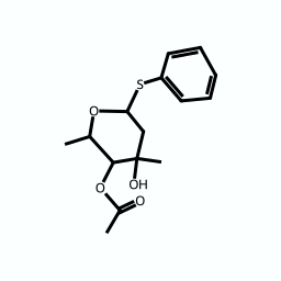 CC(=O)OC1C(C)OC(Sc2ccccc2)CC1(C)O